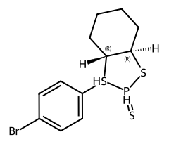 S=[PH]1S[C@@H]2CCCC[C@H]2[SH]1c1ccc(Br)cc1